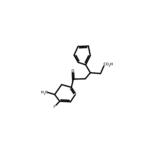 NC1CC(C(=O)CC(CC(=O)O)c2ccccc2)=IC=C1F